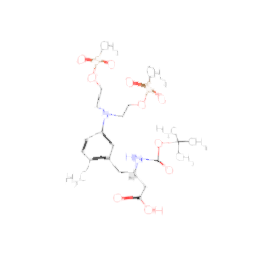 Cc1ccc(N(CCOS(C)(=O)=O)CCOS(C)(=O)=O)cc1C[C@H](CC(=O)O)NC(=O)OC(C)(C)C